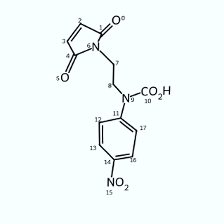 O=C1C=CC(=O)N1CCN(C(=O)O)c1ccc([N+](=O)[O-])cc1